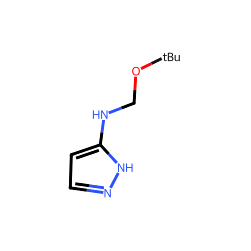 CC(C)(C)OCNc1ccn[nH]1